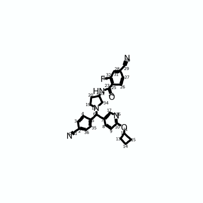 N#Cc1ccc(C(c2ccc(OC3CCC3)nc2)N2CCC(NC(=O)c3ccc(C#N)cc3F)C2)cc1